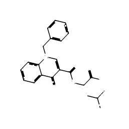 CC(C)C[C@H](NC(=O)c1cn(Cc2ccccc2)c2ccccc2c1=O)C(=O)O